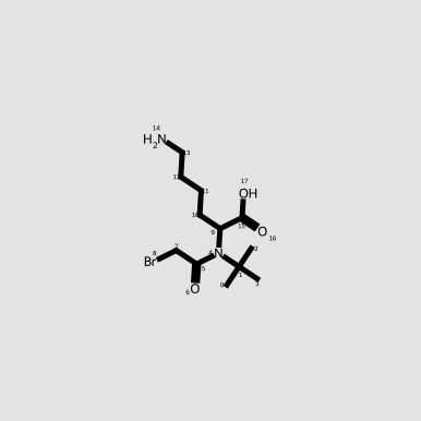 CC(C)(C)N(C(=O)CBr)C(CCCCN)C(=O)O